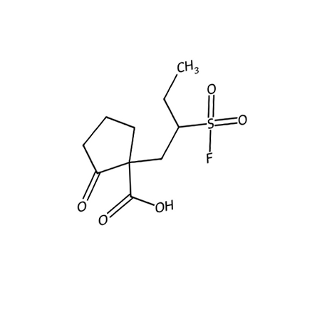 CCC(CC1(C(=O)O)CCCC1=O)S(=O)(=O)F